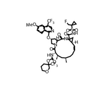 COc1ccc2c(O[C@@H]3C[C@H]4C(=O)N[C@]5(C(=O)NS(=O)(=O)C6(CF)CC6)C[C@H]5/C=C\CC[C@@H](C)C[C@@H](C)[C@H](NC(=O)OC5(C(F)(F)F)CCCOC5)C(=O)N4C3)ncc(C(F)(F)F)c2c1